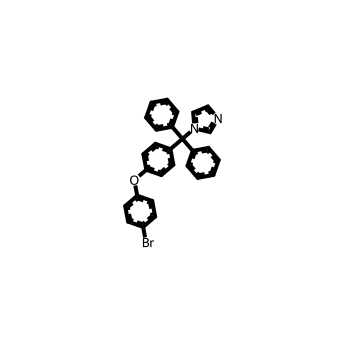 Brc1ccc(Oc2ccc(C(c3ccccc3)(c3ccccc3)n3ccnc3)cc2)cc1